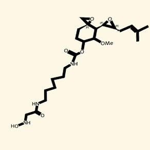 COC1C(OC(=O)NCCCCCCNC(=O)CNO)CC[C@]2(CO2)C1[C@H]1O[C@@H]1CC=C(C)C